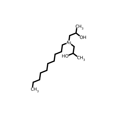 CCCCCCCCCC[As](CC(C)O)CC(C)O